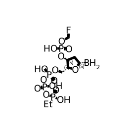 B[C@H]1C[C@H](OP(=O)(O)OCF)[C@@H](COP(=O)(O)OP(=O)(O)OP(=O)(O)CC)O1